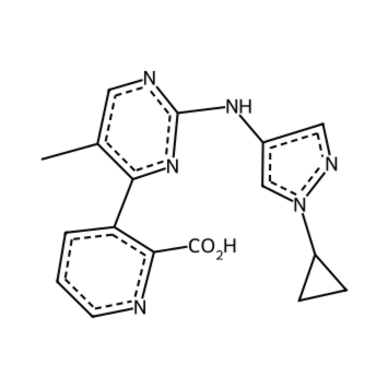 Cc1cnc(Nc2cnn(C3CC3)c2)nc1-c1cccnc1C(=O)O